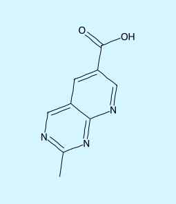 Cc1ncc2cc(C(=O)O)cnc2n1